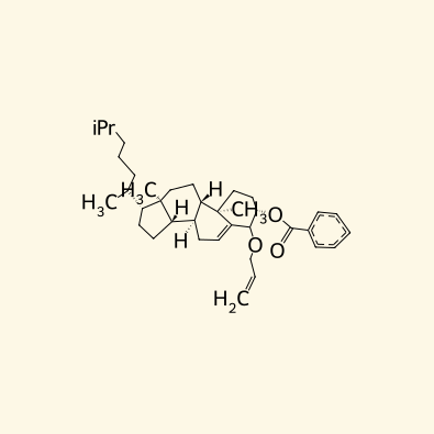 C=CCOC1C2=CC[C@H]3[C@@H]4CC[C@H](C(C)CCCC(C)C)[C@@]4(C)CC[C@@H]3[C@@]2(C)CC[C@@H]1OC(=O)c1ccccc1